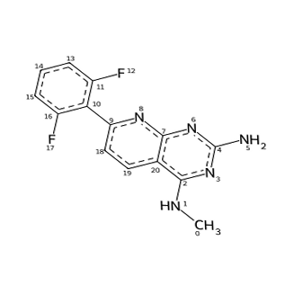 CNc1nc(N)nc2nc(-c3c(F)cccc3F)ccc12